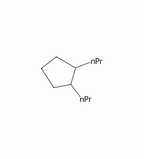 CCCC1CCCC1CCC